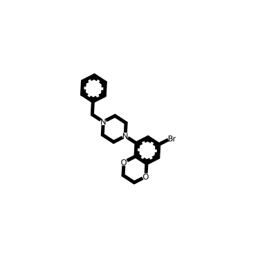 Brc1cc2c(c(N3CCN(Cc4ccccc4)CC3)c1)OCCO2